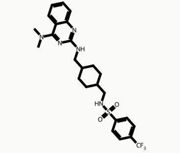 CN(C)c1nc(NCC2CCC(CNS(=O)(=O)c3ccc(C(F)(F)F)cc3)CC2)nc2ccccc12